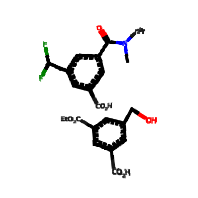 CCCN(C)C(=O)c1cc(C(=O)O)cc(C(F)F)c1.CCOC(=O)c1cc(CO)cc(C(=O)O)c1